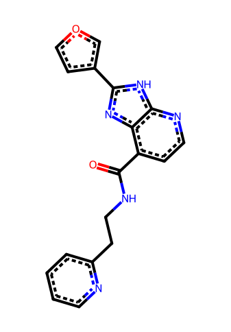 O=C(NCCc1ccccn1)c1ccnc2[nH]c(-c3ccoc3)nc12